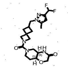 Cc1cc(C(F)F)nn1CC1CC2(C1)CN(C(=O)N1CC[C@@H]3OCC(=O)N[C@@H]3C1)C2